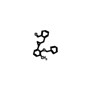 Cc1cccc(C2CC2Cc2ccccc2C=O)c1OCc1ccccc1